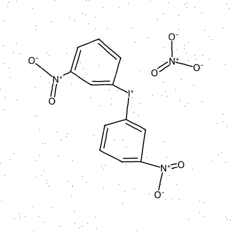 O=[N+]([O-])[O-].O=[N+]([O-])c1cccc([I+]c2cccc([N+](=O)[O-])c2)c1